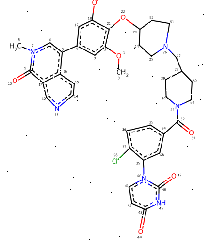 COc1cc(-c2cn(C)c(=O)c3cnccc23)cc(OC)c1OC1CCN(CC2CCN(C(=O)c3ccc(Cl)c(-n4ccc(=O)[nH]c4=O)c3)CC2)CC1